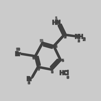 Cl.N=C(N)c1ccc(Br)c(Br)c1